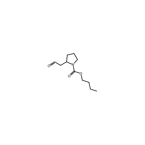 CCCCOC(=O)N1CCCC1CC=O